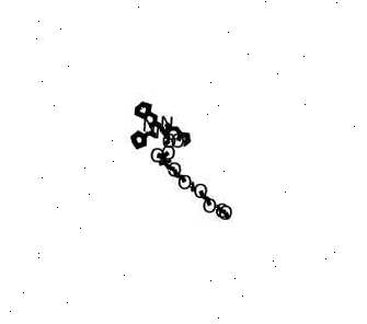 COCCOCCOCCOCCOCC(C)(C)C(=O)OCOc1c(Cc2ccco2)nc2c(Cc3ccccc3)nc(-c3ccccc3)cn12